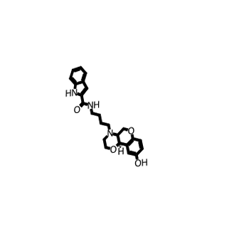 O=C(NCCCCN1CCO[C@@H]2c3cc(O)ccc3OCC21)c1cc2ccccc2[nH]1